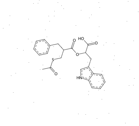 CC(=O)SCC(Cc1ccccc1)C(=O)OC(Cc1c[nH]c2ccccc12)C(=O)O